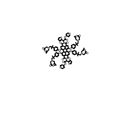 CC(C)(CN(CC1CO1)CC1CO1)c1ccc(Oc2cc3c4c(cc(Oc5ccc(C(C)(C)CN(CC6CO6)CC6CO6)cc5)c5c6c(Oc7ccc(C(C)(C)CN(CC8CO8)CC8CO8)cc7)cc7c8c(cc(Oc9ccc(C(C)(C)CN(CC%10CO%10)CC%10CO%10)cc9)c(c2c45)c86)C(=O)N(C(C(=O)Oc2ccncc2)c2cccs2)C7=O)C(=O)N(C(C(=O)Oc2ccncc2)c2cccs2)C3=O)cc1